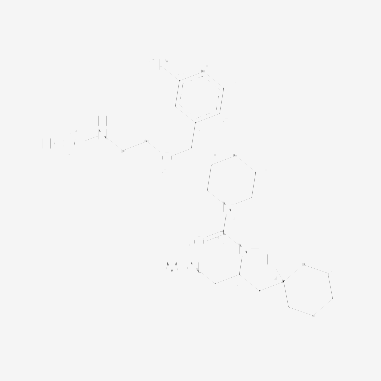 CNCC(CC1(F)CCCCC1)NC(=O)N1CCC[C@@H](C(OCCNC(=O)O)c2cccc(Cl)c2)C1